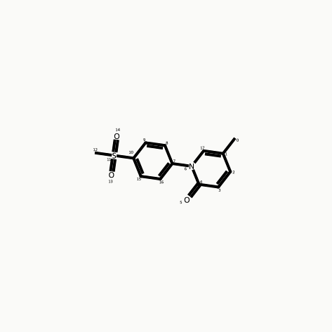 Cc1ccc(=O)n(-c2ccc(S(C)(=O)=O)cc2)c1